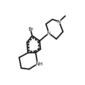 CN1CCN(c2cc3c(cc2Br)CCCN3)CC1